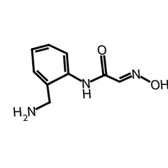 NCc1ccccc1NC(=O)C=NO